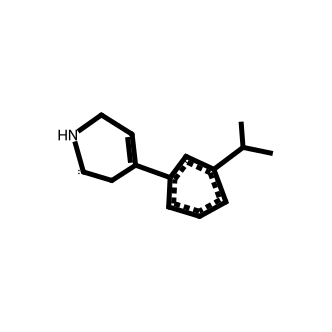 CC(C)c1cccc(C2=CCN[C]C2)c1